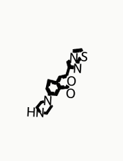 O=c1oc(-c2cn3ccsc3n2)cc2ccc(N3CCNCC3)cc12